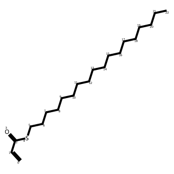 C=CC(=O)SCCCCCCCCCCCCCCCCCC